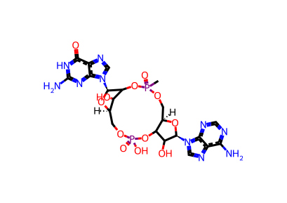 CP1(=O)OC[C@H]2O[C@@H](n3cnc4c(N)ncnc43)C(O)C2OP(=O)(O)OC[C@H]2O[C@@H](n3cnc4c(=O)[nH]c(N)nc43)C(O1)C2O